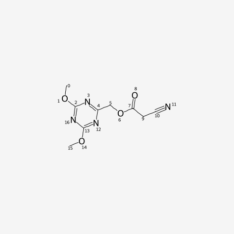 COc1nc(COC(=O)CC#N)nc(OC)n1